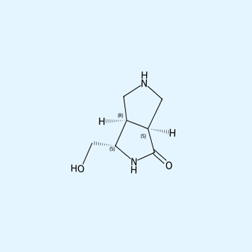 O=C1N[C@H](CO)[C@H]2CNC[C@@H]12